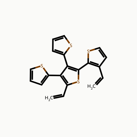 C=Cc1ccsc1-c1sc(C=C)c(-c2cccs2)c1-c1cccs1